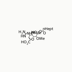 CCCCCCCC(=O)OC[C@@H](O)[C@@H](OC)[C@@H]1OC(C(=O)O)=C[C@H](NC(=N)N)[C@H]1NC(C)=O